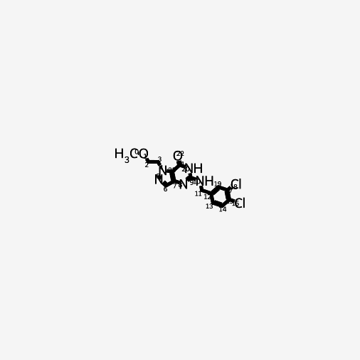 COCCn1ncc2nc(NCc3ccc(Cl)c(Cl)c3)[nH]c(=O)c21